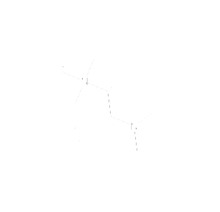 CN(C)CC[N+](C)(C)C.[Cl-]